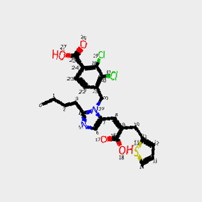 CCCCc1ncc(C=C(Cc2cccs2)C(=O)O)n1Cc1ccc(C(=O)O)c(Cl)c1Cl